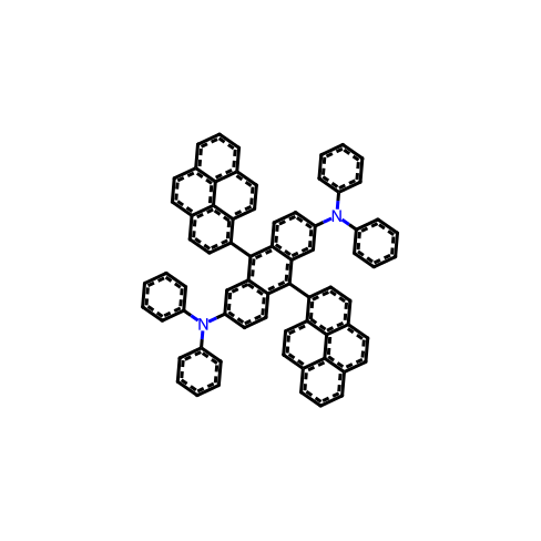 c1ccc(N(c2ccccc2)c2ccc3c(-c4ccc5ccc6cccc7ccc4c5c67)c4cc(N(c5ccccc5)c5ccccc5)ccc4c(-c4ccc5ccc6cccc7ccc4c5c67)c3c2)cc1